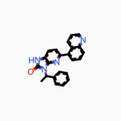 CC(c1ccccc1)n1c(=O)[nH]c2ccc(-c3cccc4ncccc34)nc21